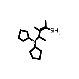 CC([SiH3])=C(C)C(C)N(C1CCCC1)C1CCCC1